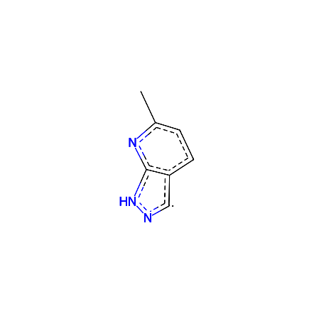 Cc1ccc2[c]n[nH]c2n1